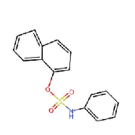 O=S(=O)(Nc1ccccc1)Oc1cccc2ccccc12